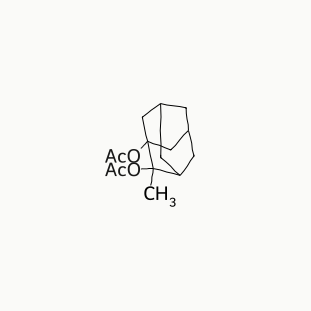 CC(=O)OC12CC3CC(CC(C3)C1(C)OC(C)=O)C2